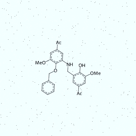 COc1cc(C(C)=O)cc(CNc2cc(C(C)=O)cc(OC)c2OCc2ccccc2)c1O